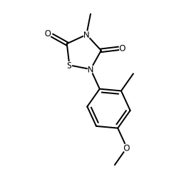 COc1ccc(-n2sc(=O)n(C)c2=O)c(C)c1